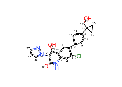 O=c1[nH]c2cc(Cl)c(-c3ccc(C4(CO)CC4)cc3)cc2c(O)c1-n1cccn1